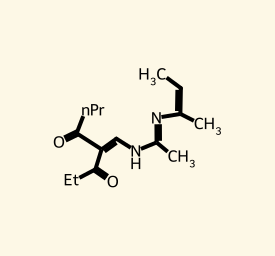 C/C=C(C)\N=C(/C)N/C=C(\C(=O)CC)C(=O)CCC